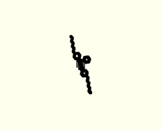 C=CCCCCCc1ccc(C=NN=C(c2ccccc2)C2CCC(CCCCCCC)CC2)cc1